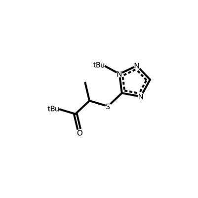 CC(Sc1ncnn1C(C)(C)C)C(=O)C(C)(C)C